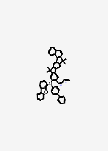 C/C=C\C=C/c1cc2c(cc1N(c1ccc(-c3ccccc3)cc1)c1cccc3c1oc1ccccc13)C(C)(C)c1cc3c(cc1-2)C(C)(C)c1ccc2ccccc2c1-3